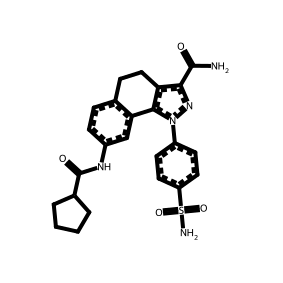 NC(=O)c1nn(-c2ccc(S(N)(=O)=O)cc2)c2c1CCc1ccc(NC(=O)C3CCCC3)cc1-2